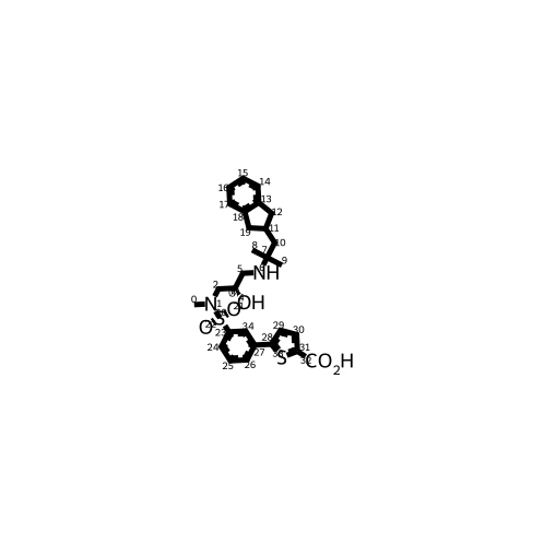 CN(C[C@H](O)CNC(C)(C)CC1Cc2ccccc2C1)S(=O)(=O)c1cccc(-c2ccc(C(=O)O)s2)c1